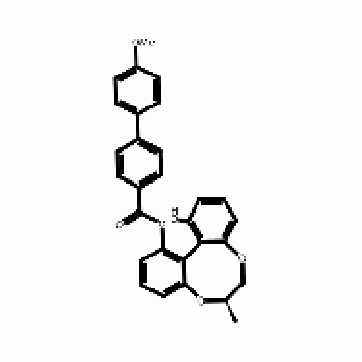 COc1ccc(-c2ccc(C(=O)Oc3cccc4c3-c3c(O)cccc3OC[C@@H](C)O4)cc2)cc1